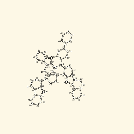 c1ccc(-c2ccc(N(c3ccc4c(oc5c6ccccc6ccc45)c3-c3ccc(-c4cccc5c4oc4ccccc45)cc3)c3cccc4c3oc3ccccc34)cc2)cc1